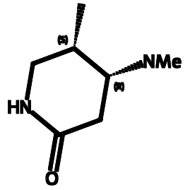 CN[C@@H]1CC(=O)NC[C@@H]1C